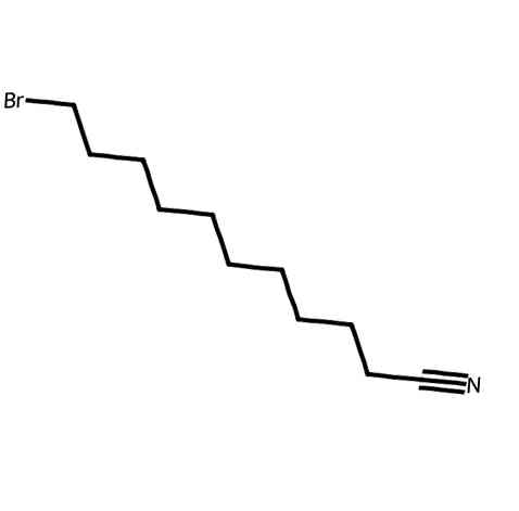 N#CCCCCCCCCCCBr